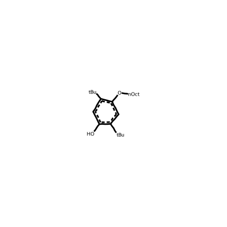 CCCCCCCCOc1cc(C(C)(C)C)c(O)cc1C(C)(C)C